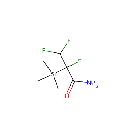 C[Si](C)(C)C(F)(C(N)=O)C(F)F